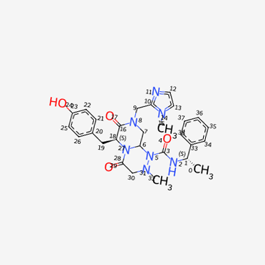 C[C@H](NC(=O)N1C2CN(Cc3nccn3C)C(=O)[C@H](Cc3ccc(O)cc3)N2C(=O)CN1C)c1ccccc1